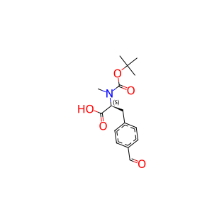 CN(C(=O)OC(C)(C)C)[C@@H](Cc1ccc(C=O)cc1)C(=O)O